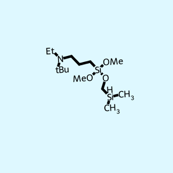 CCN(CCC[Si](OC)(OC)OC[SiH](C)C)C(C)(C)C